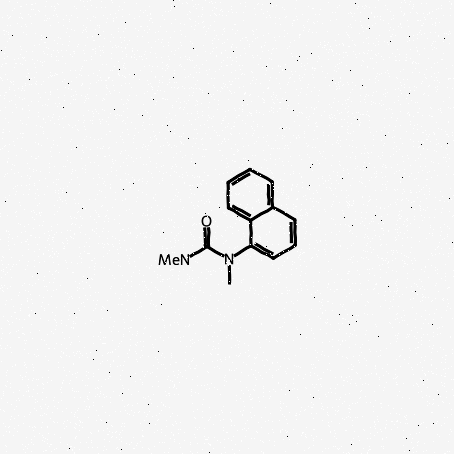 CNC(=O)N(C)c1cccc2ccccc12